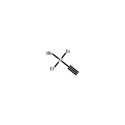 C#C[N+](CC)(CC)C(C)(C)C